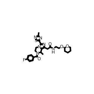 Cc1nsc(-c2nc(CC(=O)NCCO[C@@H]3CCCCO3)c3n2CCN(C(=O)c2ccc(F)cc2)C3C)n1